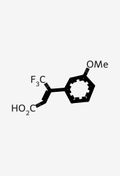 COc1cccc(/C(=C/C(=O)O)C(F)(F)F)c1